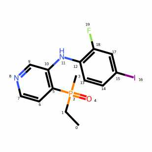 CCP(C)(=O)c1ccncc1Nc1ccc(I)cc1F